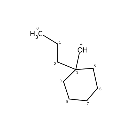 CCCC1(O)CCCCC1